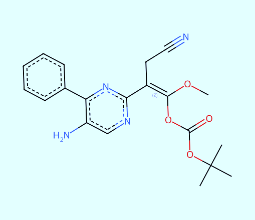 CO/C(OC(=O)OC(C)(C)C)=C(\CC#N)c1ncc(N)c(-c2ccccc2)n1